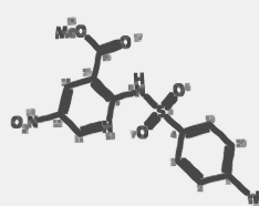 CCCCc1ccc(S(=O)(=O)Nc2ncc([N+](=O)[O-])cc2C(=O)OC)cc1